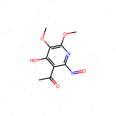 COc1nc(N=O)c(C(C)=O)c(O)c1OC